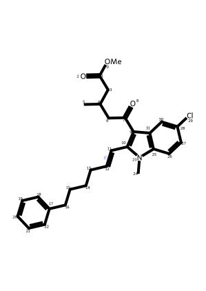 COC(=O)CC(C)CC(=O)c1c(/C=C/CCCCc2ccccc2)n(C)c2ccc(Cl)cc12